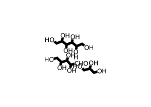 O=CC(O)C(O)C(O)CO.OCC(O)C(O)C(O)C(O)CO.OCC(O)CO